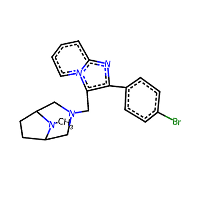 CN1C2CCC1CN(Cc1c(-c3ccc(Br)cc3)nc3ccccn13)C2